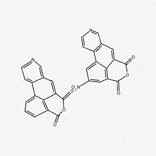 O=C1OC(=O)c2cc3cnccc3c3cc([N+](=O)[O-])cc1c23.O=C1OC(=O)c2cc3cnccc3c3cccc1c23